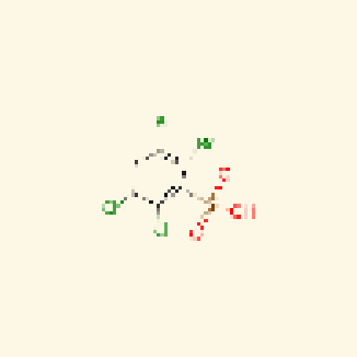 O=S(=O)(O)c1c(Cl)c(Cl)cc(Br)c1Br